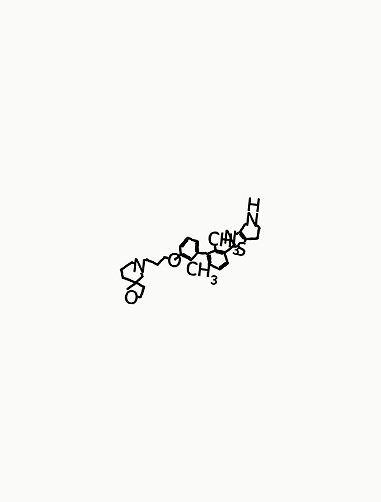 Cc1c(OCCCN2CCCC3(CCOC3)C2)cccc1-c1cccc(-c2nc3c(s2)CCNC3)c1C